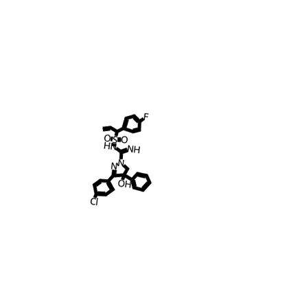 C=CC(c1ccc(F)cc1)S(=O)(=O)NC(=N)N1CC(O)(c2ccccc2)C(c2ccc(Cl)cc2)=N1